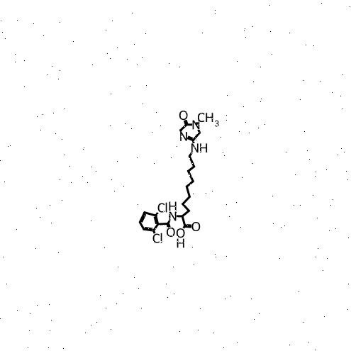 CN1CC(NCCCCCCCCC(NC(=O)c2c(Cl)cccc2Cl)C(=O)O)=NCC1=O